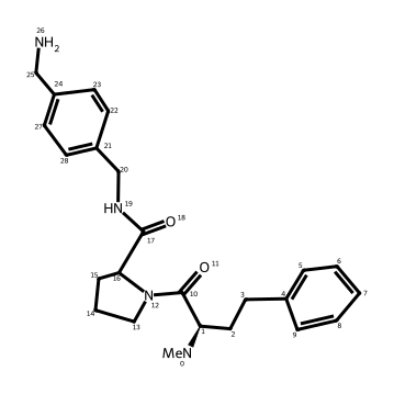 CN[C@H](CCc1ccccc1)C(=O)N1CCCC1C(=O)NCc1ccc(CN)cc1